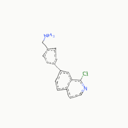 NCc1ccc(-c2ccc3ccnc(Cl)c3c2)cc1